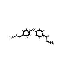 NCCc1ccc(Oc2ccc(CCN)cc2)cc1